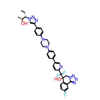 CC[C@@H]([C@H](C)O)n1cc(-c2ccc(N3CCN(c4ccc(-c5ccc(C(F)(F)[C@]6(O)Cn7nnnc7-c7cc(F)ccc76)nc5)cc4)CC3)cc2)nn1